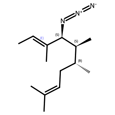 C/C=C(\C)[C@@H](N=[N+]=[N-])[C@@H](C)[C@H](C)CC=C(C)C